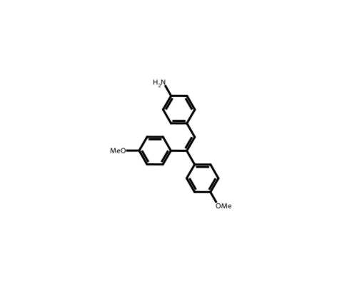 COc1ccc(C(=Cc2ccc(N)cc2)c2ccc(OC)cc2)cc1